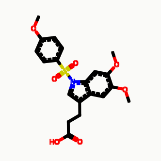 COc1ccc(S(=O)(=O)n2cc(CCC(=O)O)c3cc(OC)c(OC)cc32)cc1